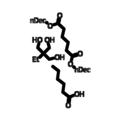 CCC(CO)(CO)CO.CCCCCC(=O)O.CCCCCCCCCCOC(=O)CCCCC(=O)OCCCCCCCCCC